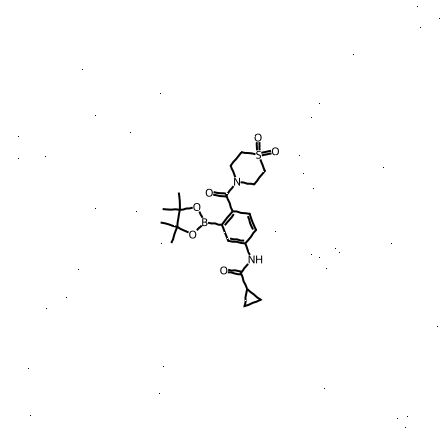 CC1(C)OB(c2cc(NC(=O)C3CC3)ccc2C(=O)N2CCS(=O)(=O)CC2)OC1(C)C